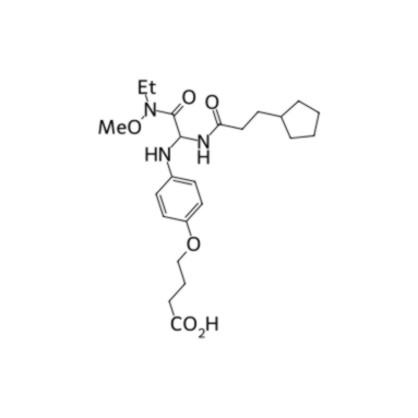 CCN(OC)C(=O)C(NC(=O)CCC1CCCC1)Nc1ccc(OCCCC(=O)O)cc1